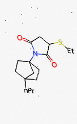 CCCC12CCC(N3C(=O)CC(SCC)C3=O)(CC1)C2